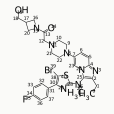 CCc1nc2ccc(N3CCN(CC(=O)N4CC(CO)C4)CC3)cn2c1N(C)c1nc(-c2ccc(F)cc2)c(Br)s1